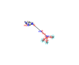 Cc1ccc(C)c(Cn2c(C(O)c3ccncc3)nc3ccc(-c4cnn(CCOCCCCCCCCCCCCNC(=O)CCOCCOCCC(=O)NC(COCCC(=O)Oc5c(F)c(F)c(F)c(F)c5F)(COCCC(=O)Oc5c(F)c(F)c(F)c(F)c5F)COCCC(=O)Oc5c(F)c(F)c(F)c(F)c5F)c4)cc32)c1